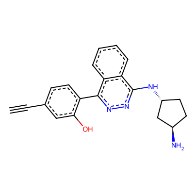 C#Cc1ccc(-c2nnc(N[C@@H]3CC[C@@H](N)C3)c3ccccc23)c(O)c1